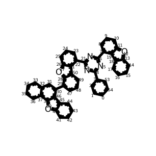 c1ccc(-c2nc(-c3cccc4oc5ccccc5c34)nc(-c3cccc4oc5c(-c6cc7ccccc7c7oc8ccccc8c67)cccc5c34)n2)cc1